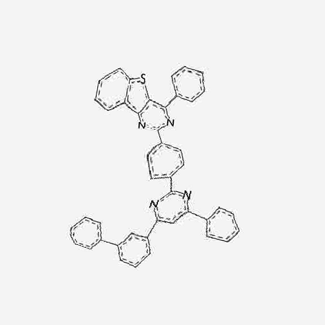 c1ccc(-c2cccc(-c3cc(-c4ccccc4)nc(-c4ccc(-c5nc(-c6ccccc6)c6sc7ccccc7c6n5)cc4)n3)c2)cc1